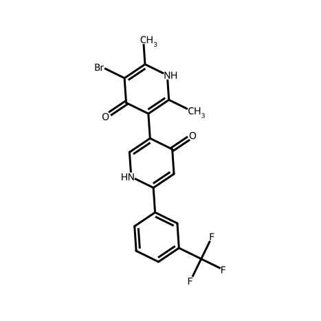 Cc1[nH]c(C)c(-c2c[nH]c(-c3cccc(C(F)(F)F)c3)cc2=O)c(=O)c1Br